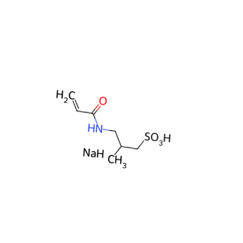 C=CC(=O)NCC(C)CS(=O)(=O)O.[NaH]